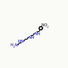 NCCCNCCCCNCCCNCCc1ccc([N+](=O)[O-])cc1